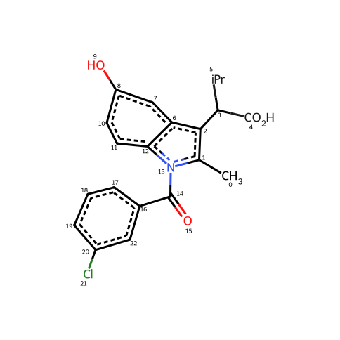 Cc1c(C(C(=O)O)C(C)C)c2cc(O)ccc2n1C(=O)c1cccc(Cl)c1